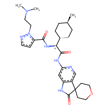 CN(C)CCn1nccc1C(=O)N[C@H](C(=O)Nc1cc2c(cn1)C1(CCOCC1)C(=O)N2)[C@H]1CC[C@H](C)CC1